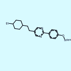 CCCCCCOc1ccc(-c2ncc(CCC3CCC(CC)CC3)cn2)cc1